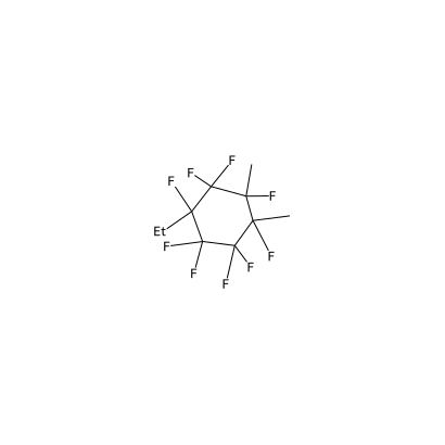 CCC1(F)C(F)(F)C(C)(F)C(C)(F)C(F)(F)C1(F)F